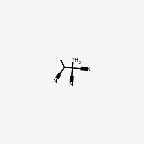 CC(C#N)C(P)(C#N)C#N